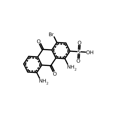 Nc1cccc2c1C(=O)c1c(N)c(S(=O)(=O)O)cc(Br)c1C2=O